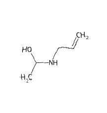 [CH2]C(O)NCC=C